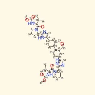 COC(=O)NC(C(=O)N1CCCC1c1ncc(-c2ccc3c(c2)COCc2cc(-c4cnc(C5C6CCC(C6)N5C(=O)C(NC(=O)OC)C(C)C)[nH]4)ccc2-3)[nH]1)C(C)C